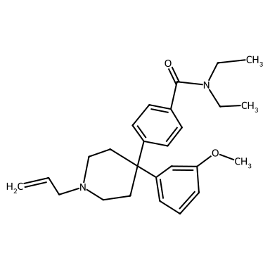 C=CCN1CCC(c2ccc(C(=O)N(CC)CC)cc2)(c2cccc(OC)c2)CC1